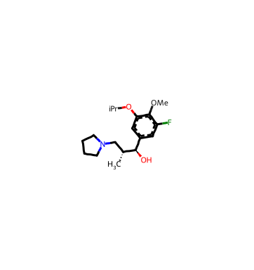 COc1c(F)cc([C@@H](O)[C@H](C)CN2CCCC2)cc1OC(C)C